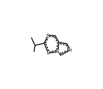 CC(C)c1ncc2cncn2n1